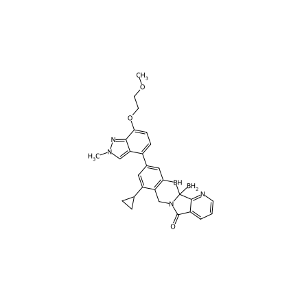 BC12Bc3cc(-c4ccc(OCCOC)c5nn(C)cc45)cc(C4CC4)c3CN1C(=O)c1cccnc12